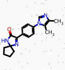 Cc1ncn(-c2ccc(C3=NC4(CCCC4)NC3=O)cc2)c1C